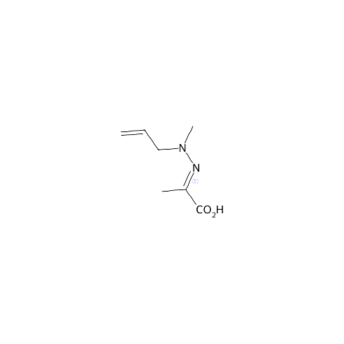 C=CCN(C)/N=C(\C)C(=O)O